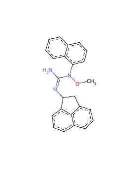 CON(C(N)=NC1Cc2cccc3cccc1c23)c1cccc2ccccc12